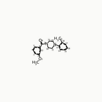 COc1cccc(C(=O)N2CCN(c3ccccc3C)CC2)c1